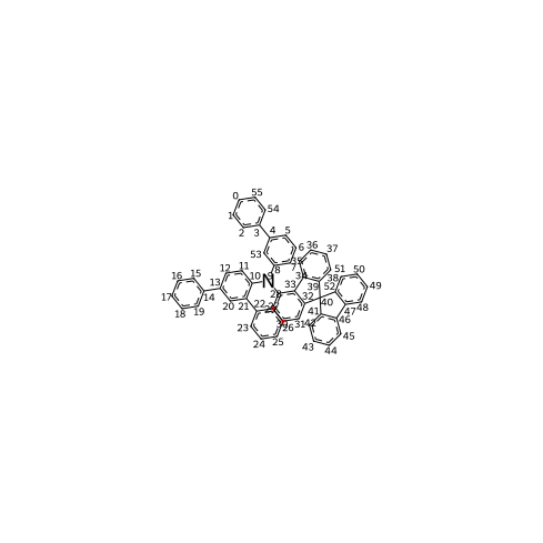 c1ccc(-c2cccc(N(c3ccc(-c4ccccc4)cc3-c3ccccc3)c3cccc4c3-c3ccccc3C43c4ccccc4-c4ccccc43)c2)cc1